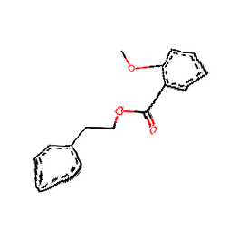 COc1ccccc1C(=O)OCCc1ccccc1